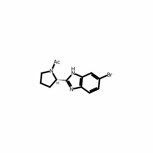 CC(=O)N1CCC[C@H]1c1nc2ccc(Br)cc2[nH]1